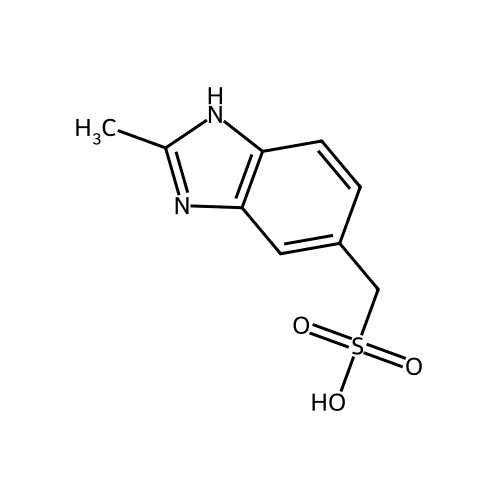 Cc1nc2cc(CS(=O)(=O)O)ccc2[nH]1